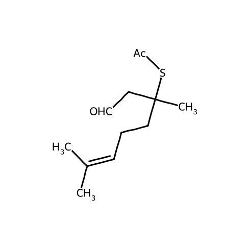 CC(=O)SC(C)(CC=O)CCC=C(C)C